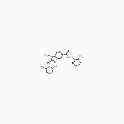 Cn1c(Nc2c(Cl)cccc2Cl)nc2cc(C(=O)NCc3ncccc3C(F)(F)F)ncc21